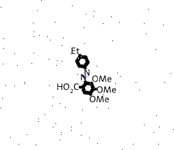 CCc1ccc(/N=N/c2c(C(=O)O)cc(OC)c(OC)c2OC)cc1